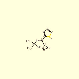 CC(C)(C)/C=C(/c1cccs1)C1CC1